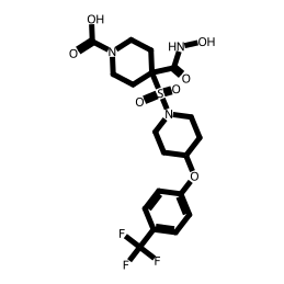 O=C(O)N1CCC(C(=O)NO)(S(=O)(=O)N2CCC(Oc3ccc(C(F)(F)F)cc3)CC2)CC1